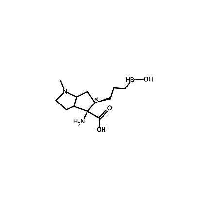 CN1CCC2C1C[C@@H](CCCBO)C2(N)C(=O)O